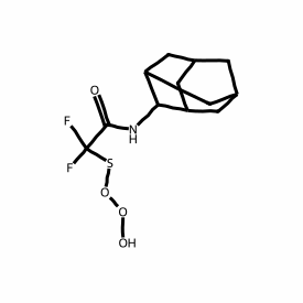 O=C(NC1C2CC3CC(C2)CC1C3)C(F)(F)SOOO